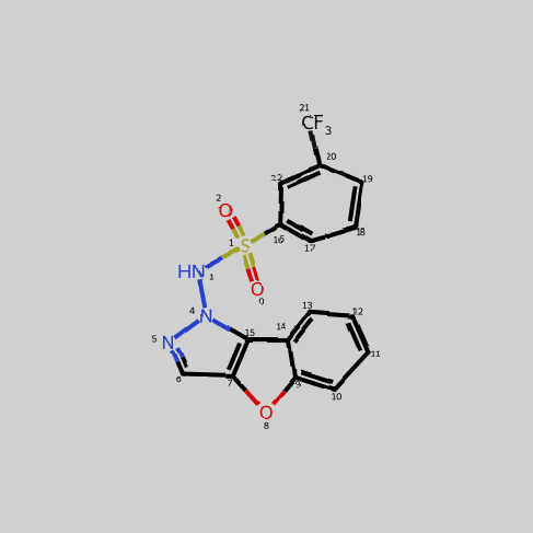 O=S(=O)(Nn1ncc2oc3ccccc3c21)c1cccc(C(F)(F)F)c1